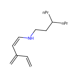 C=CC(=C)/C=C\NCCC(CCC)CCC